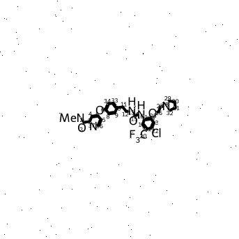 CNC(=O)c1cc(Oc2ccc(CCNC(=O)Nc3cc(C(F)(F)F)c(Cl)cc3OCCN3CCCC3)cc2)ccn1